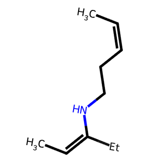 C/C=C\CCN/C(=C\C)CC